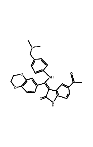 CC(=O)c1ccc2c(c1)C(=C(Nc1ccc(CN(C)C)cc1)c1ccc3c(c1)OCCO3)C(=O)N2